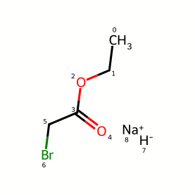 CCOC(=O)CBr.[H-].[Na+]